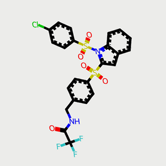 O=C(NCc1ccc(S(=O)(=O)c2cc3ccccc3n2S(=O)(=O)c2ccc(Cl)cc2)cc1)C(F)(F)F